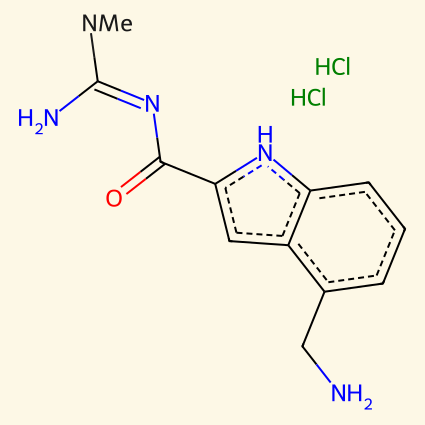 CNC(N)=NC(=O)c1cc2c(CN)cccc2[nH]1.Cl.Cl